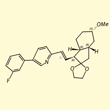 CO[C@H]1CC[C@@H]2[C@H](C1)CC1(OCCO1)[C@H]2/C=C/c1ccc(-c2cccc(F)c2)cn1